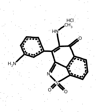 CNC1=C(c2cccc(N)c2)C2=NS(=O)(=O)c3cccc(c32)C1=O.Cl